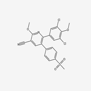 COc1nc(-c2cc(Cl)c(OC)c(Cl)c2)c(-c2ccc(S(C)(=O)=O)cc2)cc1C#N